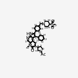 CC(=O)N1CC[C@H](c2cc3c4c(-c5ccccc5)c(-c5ccc(CN6CCC(S(C)(=O)=O)CC6)cc5)[nH]c4ncc3n(C)c2=O)C1